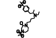 CCN(CCCCN1CCCN(S(C)(=O)=O)CC1=O)C(C)Cc1ccc(S(C)(=O)=O)cc1